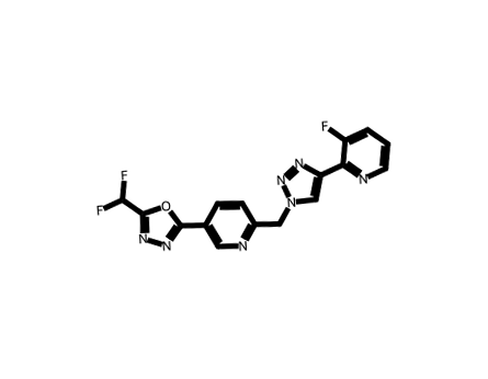 Fc1cccnc1-c1cn(Cc2ccc(-c3nnc(C(F)F)o3)cn2)nn1